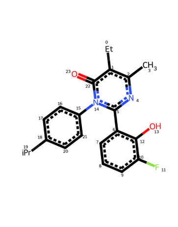 CCc1c(C)nc(-c2cccc(F)c2O)n(-c2ccc(C(C)C)cc2)c1=O